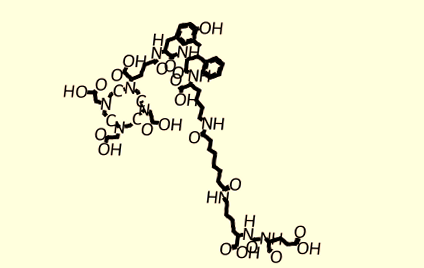 Cc1cc(CC(NC(=O)CCC(C(=O)O)N2CCN(CC(=O)O)CCN(CC(=O)O)CCN(CC(=O)O)CC2)C(=O)NC(Cc2ccccc2)C(=O)NC(CCCCNC(=O)CCCCCCC(=O)NCCCCC(NC(=O)NC(C=O)CCC(=O)O)C(=O)O)C(=O)O)ccc1O